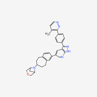 Cc1ccnnc1-c1ccc(-c2n[nH]c3ncc(-c4ccc5c(c4)CC[C@@H](N4C6COCC4C6)CC5)cc23)cc1